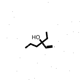 [CH]=CC(O)(CC)CCC